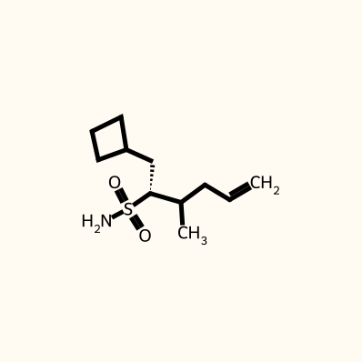 C=CCC(C)[C@@H](CC1CCC1)S(N)(=O)=O